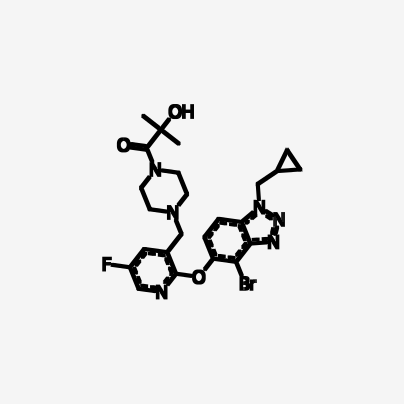 CC(C)(O)C(=O)N1CCN(Cc2cc(F)cnc2Oc2ccc3c(nnn3CC3CC3)c2Br)CC1